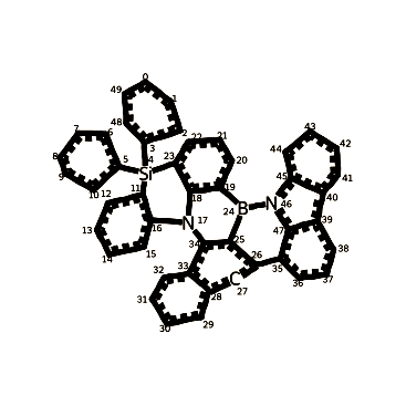 c1ccc([Si]2(c3ccccc3)c3ccccc3N3c4c(cccc42)B2c4c(cc5ccccc5c43)-c3cccc4c5ccccc5n2c34)cc1